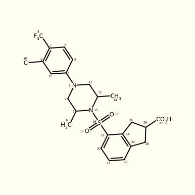 CC1CN(c2ccc(C(F)(F)F)c(Cl)c2)CC(C)N1S(=O)(=O)c1cccc2c1CC(C(=O)O)C2